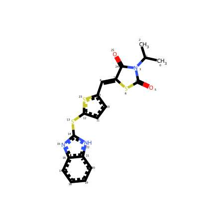 CC(C)N1C(=O)S/C(=C\c2ccc(Sc3nc4ccccc4[nH]3)s2)C1=O